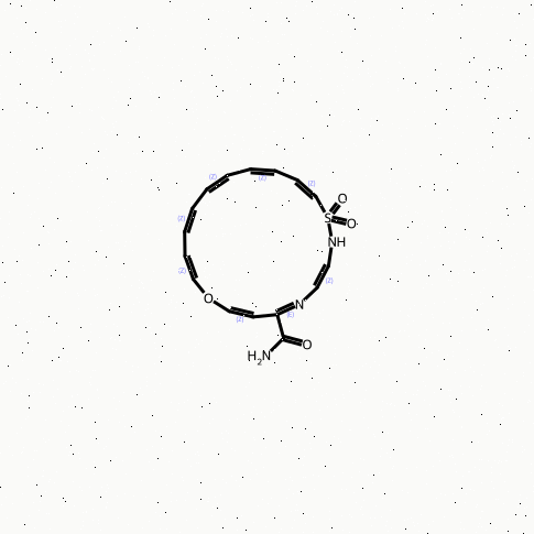 NC(=O)C1=N/C=C\NS(=O)(=O)\C=C/C=C\C=C/C=C\C=C/O/C=C\1